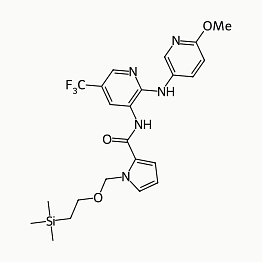 COc1ccc(Nc2ncc(C(F)(F)F)cc2NC(=O)c2cccn2COCC[Si](C)(C)C)cn1